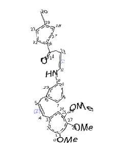 COc1cc(/C=C\c2cccc(N/C=C\C(=O)c3ccc(C)cc3)c2)cc(OC)c1OC